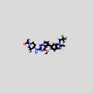 COc1nc(N[C@H]2CCN(C(C)=O)C[C@H]2F)nn2ccc(-c3ccc4nc(C)n(CC(F)(F)F)c4c3)c12